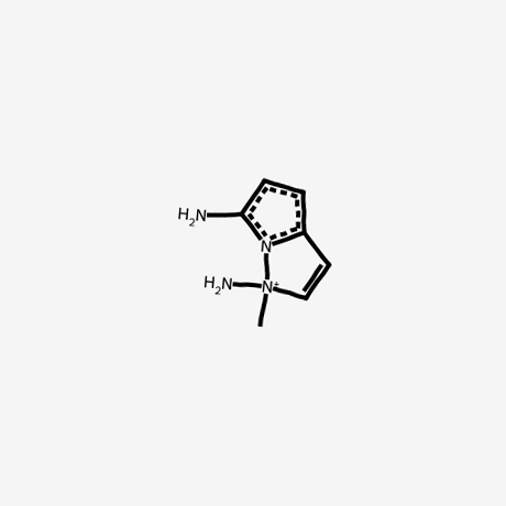 C[N+]1(N)C=Cc2ccc(N)n21